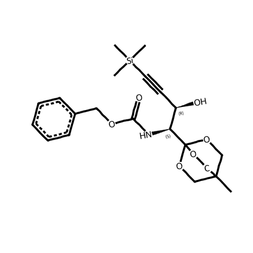 CC12COC([C@@H](NC(=O)OCc3ccccc3)[C@H](O)C#C[Si](C)(C)C)(OC1)OC2